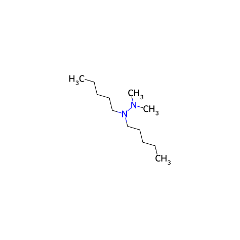 CCCCCN(CCCCC)N(C)C